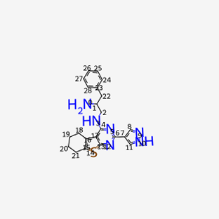 NC(CNc1nc(-c2cn[nH]c2)nc2sc3c(c12)CCCC3)Cc1ccccc1